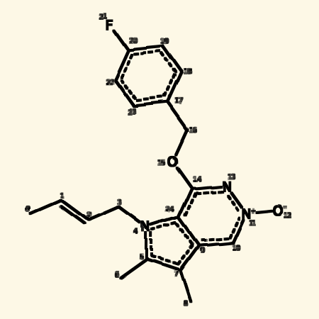 C/C=C/Cn1c(C)c(C)c2c[n+]([O-])nc(OCc3ccc(F)cc3)c21